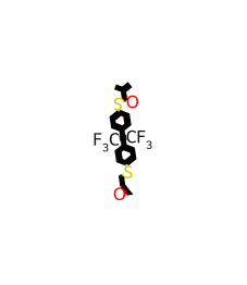 C=C(C)C(=O)Sc1ccc(C(c2ccc(SCC3CO3)cc2)(C(F)(F)F)C(F)(F)F)cc1